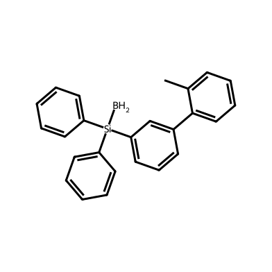 B[Si](c1ccccc1)(c1ccccc1)c1cccc(-c2ccccc2C)c1